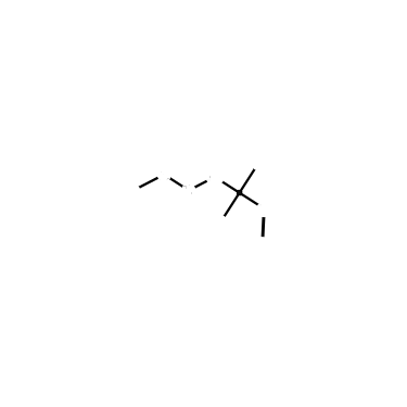 CSSOC(C)(C)SC